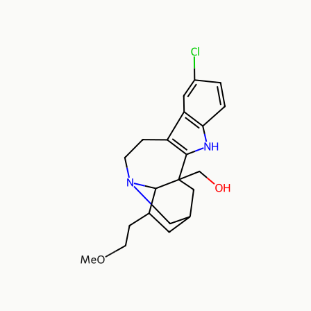 COCCC1CC2CN3CCc4c([nH]c5ccc(Cl)cc45)C(CO)(C2)C13